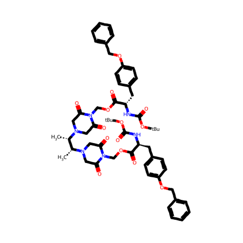 C[C@H]([C@H](C)N1CC(=O)N(COC(=O)[C@H](Cc2ccc(OCc3ccccc3)cc2)NC(=O)OC(C)(C)C)C(=O)C1)N1CC(=O)N(COC(=O)[C@H](Cc2ccc(OCc3ccccc3)cc2)NC(=O)OC(C)(C)C)C(=O)C1